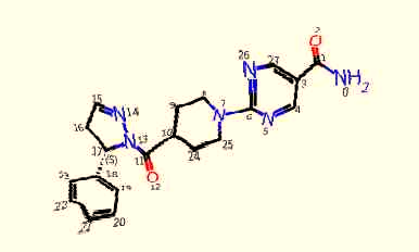 NC(=O)c1cnc(N2CCC(C(=O)N3N=CC[C@H]3c3ccccc3)CC2)nc1